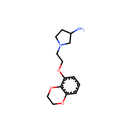 NC1CCN(CCOc2cccc3c2OCCO3)C1